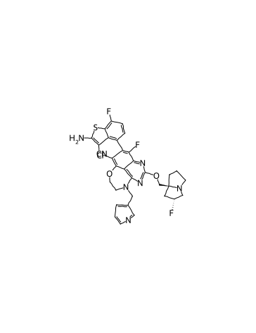 N#Cc1c(N)sc2c(F)ccc(-c3c(Cl)c4c5c(nc(OC[C@@]67CCCN6C[C@H](F)C7)nc5c3F)N(Cc3cccnc3)CCO4)c12